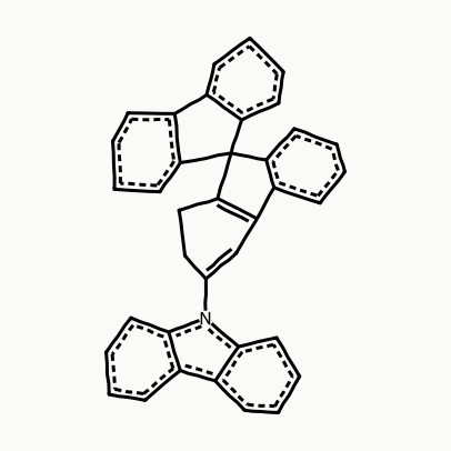 C1=C(n2c3ccccc3c3ccccc32)CCC2=C1c1ccccc1C21c2ccccc2-c2ccccc21